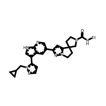 CCNC(=O)N1CCC2(CCn3nc(-c4cnc5[nH]cc(-c6ccnn6CC6CC6)c5c4)cc32)C1